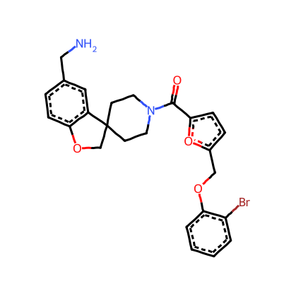 NCc1ccc2c(c1)C1(CCN(C(=O)c3ccc(COc4ccccc4Br)o3)CC1)CO2